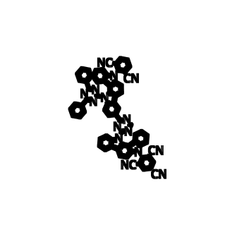 N#Cc1cc(C#N)c(-n2c3ccccc3c3c2ccc2c4ccccc4n(-c4ncnc(-c5ccc6c(c5)c5ccc7c(c8ccccc8n7-c7c(C#N)cccc7C#N)c5n6-c5nc(-c6ccccc6)nc(-c6ccccc6)n5)n4)c23)c(C#N)c1